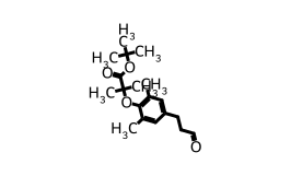 Cc1cc(CCC=O)cc(C)c1OC(C)(C)C(=O)OC(C)(C)C